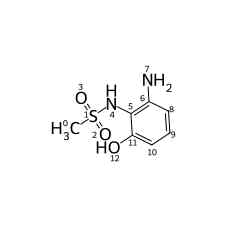 CS(=O)(=O)Nc1c(N)cccc1O